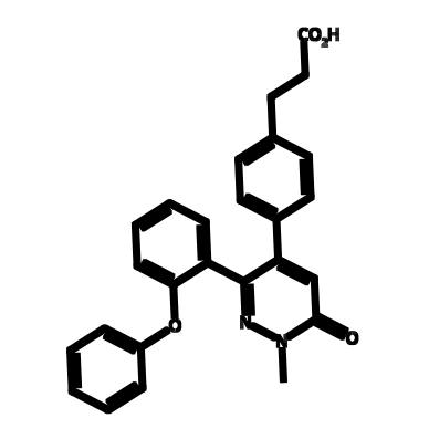 Cn1nc(-c2ccccc2Oc2ccccc2)c(-c2ccc(CCC(=O)O)cc2)cc1=O